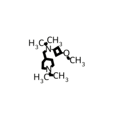 CCO[C@H]1C[C@H](N(CC2CCN(C(C)C)CC2)C(C)C)C1